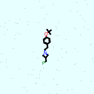 CC(C)(C)Oc1ccc(CCN2CC(CF)C2)cc1